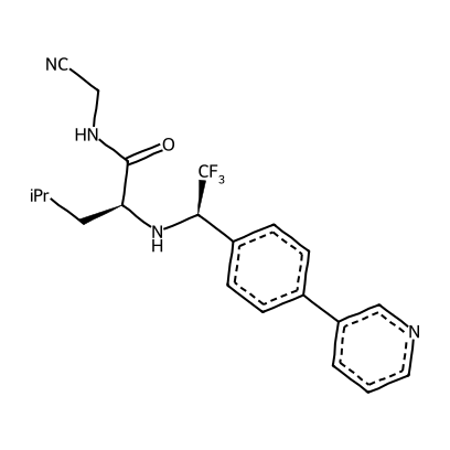 CC(C)C[C@H](N[C@H](c1ccc(-c2cccnc2)cc1)C(F)(F)F)C(=O)NCC#N